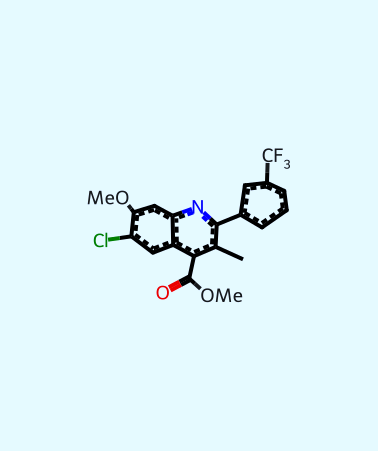 COC(=O)c1c(C)c(-c2cccc(C(F)(F)F)c2)nc2cc(OC)c(Cl)cc12